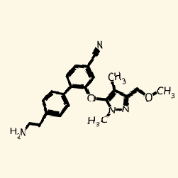 COCc1nn(C)c(Oc2cc(C#N)ccc2-c2ccc(CCN)cc2)c1C